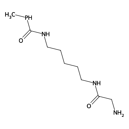 CPC(=O)NCCCCCNC(=O)CN